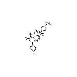 Cc1ccc(S(=O)(=O)Nc2c(=O)[nH]n3c(=O)cc(-c4ccc(Cl)cc4)[nH]c23)cc1